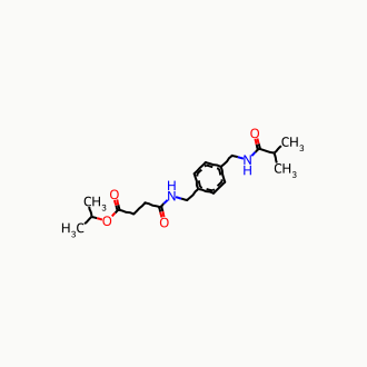 CC(C)OC(=O)CCC(=O)NCc1ccc(CNC(=O)C(C)C)cc1